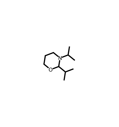 CC(C)C1OCCCN1C(C)C